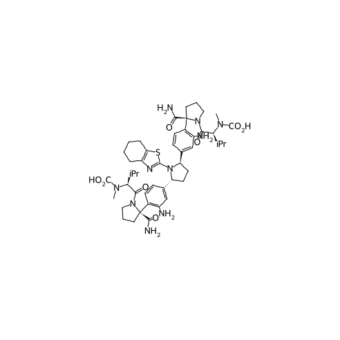 CC(C)[C@@H](C(=O)N1CCC[C@@]1(C(N)=O)c1ccc([C@H]2CC[C@H](c3ccc([C@]4(C(N)=O)CCCN4C(=O)[C@H](C(C)C)N(C)C(=O)O)c(N)c3)N2c2nc3c(s2)CCCC3)cc1N)N(C)C(=O)O